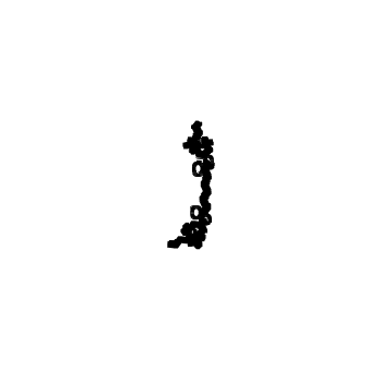 CCCCN1C(C)(C)CC(OC(=O)CCCCCC(=O)OC2CC(C)(C)N(CCCC)C(C)(C(C)C)C2)CC1(C)C(C)C